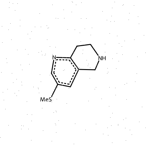 CSc1cnc2c(c1)CNCC2